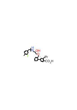 Cc1ccc(CC(C)(C)NC[C@@H](O)CO[C@H](C)c2ccccc2-c2ccc(C(=O)O)c(C(C)C)c2)cc1F